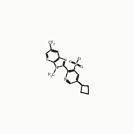 CCS(=O)(=O)c1cc(C2CCC2)cnc1-c1nc2cc(C(F)(F)F)cnc2n1C